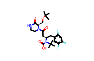 CC(C)(C)OC[C@@H]1C(=O)NCCN1C(=O)C[C@@H](Cc1cc(F)c(F)cc1F)N(C(=O)O)C(C)(C)C